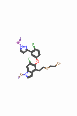 Fc1ccc(Oc2c(F)cc3c(ccn3SI)c2CCSCCS)cc1-c1ccn(PI)n1